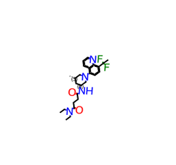 CCN(CC)C(=O)CCC(=O)N[C@@H]1C[C@H](C)CN(c2ccc(C(C)(F)F)c3ncccc23)C1